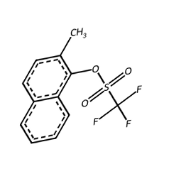 Cc1ccc2ccccc2c1OS(=O)(=O)C(F)(F)F